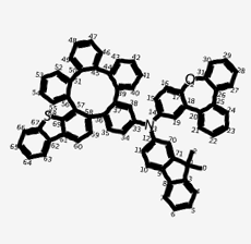 CC1(C)c2ccccc2-c2ccc(N(c3ccc4c(c3)-c3ccccc3-c3ccccc3O4)c3ccc4c(c3)c3ccccc3c3ccccc3c3ccccc3c3c4ccc4c5ccccc5sc43)cc21